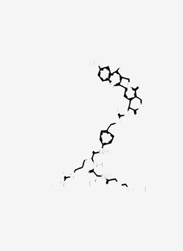 CCc1c2c(nc3ccc(O)cc13)-c1cc3c(c(=O)n1C2)COC(=O)[C@@]3(CC)OC(=O)OCc1ccc(NC(=O)[C@H](CCCNC(N)=O)NC(=O)[C@@H](NC(=O)CSCC(=O)O)C(C)C)cc1